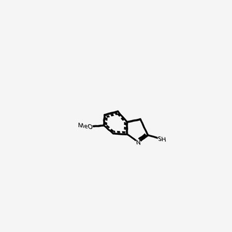 COc1ccc2c(c1)N=C(S)C2